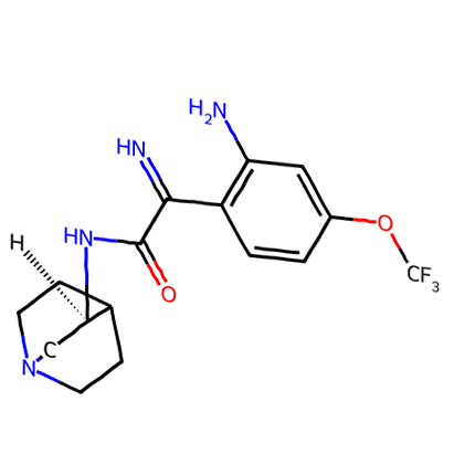 N=C(C(=O)N[C@@H]1CN2CCC1CC2)c1ccc(OC(F)(F)F)cc1N